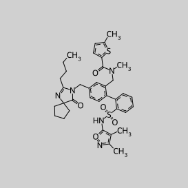 CCCCC1=NC2(CCCC2)C(=O)N1Cc1ccc(-c2ccccc2S(=O)(=O)Nc2onc(C)c2C)c(CN(C)C(=O)c2ccc(C)s2)c1